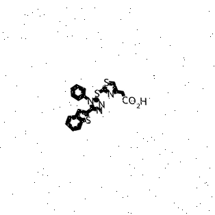 O=C(O)Cc1csc(Sc2nnc(-c3cc4ccccc4s3)n2-c2ccccc2)n1